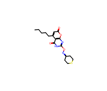 CCCCCc1cc(=O)oc2nc(ON=C3CCSCC3)[nH]c(=O)c12